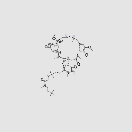 COc1cc2cc(c1Cl)N(C)C(=O)C[C@H](OC(=O)[C@H](C)N(C)C(=O)CCC(C)(C)SCC(=O)N(C)CCC(C)(C)C)[C@@H](C)C[C@H](C)[C@@H]1C[C@@](O)(NC(=O)O1)[C@H](OC)/C=C/C=C(\C)C2